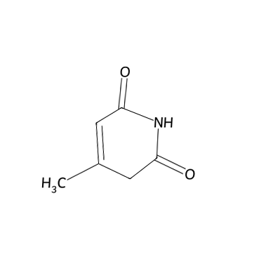 CC1=CC(=O)NC(=O)C1